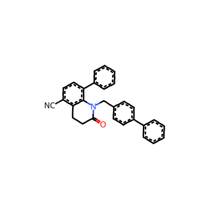 N#Cc1ccc(-c2ccccc2)c2c1CCC(=O)N2Cc1ccc(-c2ccccc2)cc1